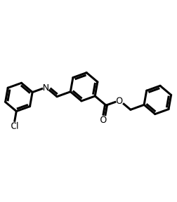 O=C(OCc1ccccc1)c1cccc(C=Nc2cccc(Cl)c2)c1